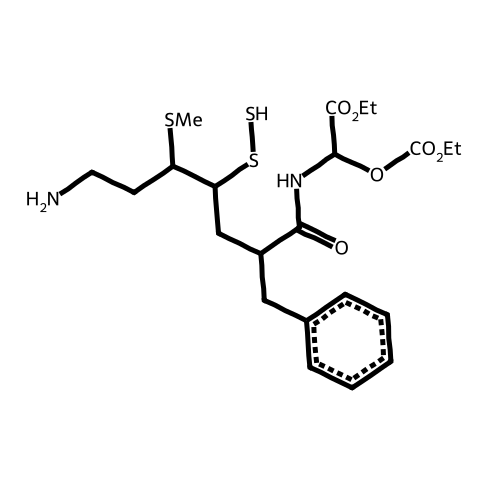 CCOC(=O)OC(NC(=O)C(Cc1ccccc1)CC(SS)C(CCN)SC)C(=O)OCC